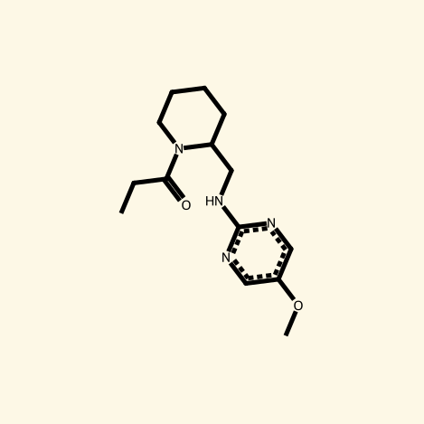 CCC(=O)N1CCCCC1CNc1ncc(OC)cn1